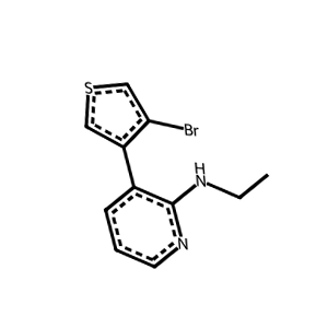 CCNc1ncccc1-c1cscc1Br